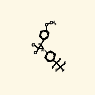 COc1ccc([C@H]2[C@H](c3ccc(C(F)(F)C(F)(F)F)cc3)C2(Cl)Cl)cc1